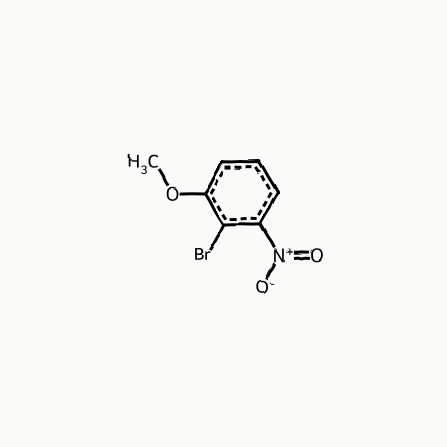 COc1cccc([N+](=O)[O-])c1Br